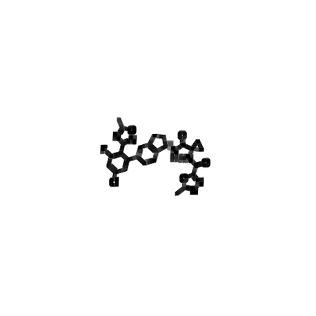 Cc1nc(-c2c(F)cc(Cl)cc2-c2ccc3c(c2)CC[C@@H]3NC(=O)C2(NC(=O)c3nnc(C)o3)CC2)no1